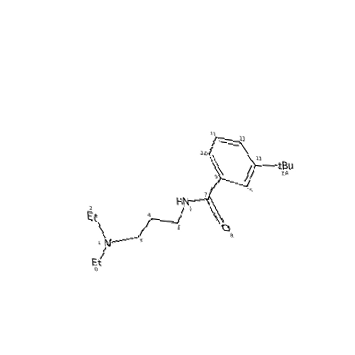 CCN(CC)CCCNC(=O)c1cccc(C(C)(C)C)c1